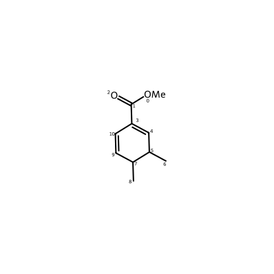 COC(=O)C1=CC(C)C(C)C=C1